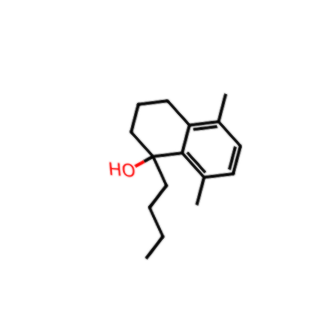 CCCCC1(O)CCCc2c(C)ccc(C)c21